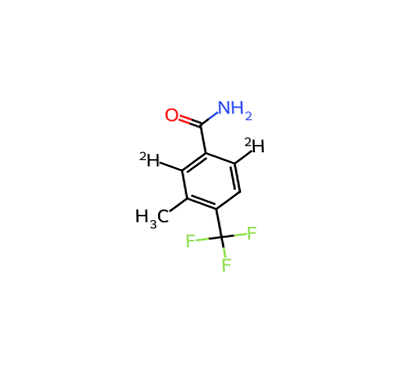 [2H]c1cc(C(F)(F)F)c(C)c([2H])c1C(N)=O